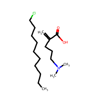 C=C(CCCN(C)C)C(=O)O.CCCCCCCCCCCl